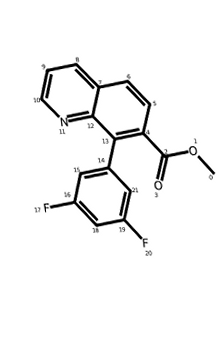 COC(=O)c1ccc2cccnc2c1-c1cc(F)cc(F)c1